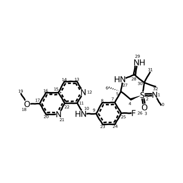 CN=[S@@]1(=O)C[C@@](C)(c2cc(Nc3nccc4cc(OC)cnc34)ccc2F)NC(=N)C1(C)C